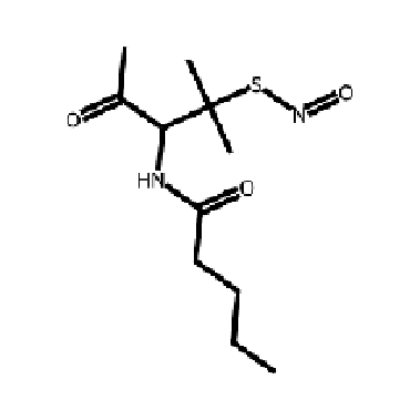 CCCCC(=O)NC(C(C)=O)C(C)(C)SN=O